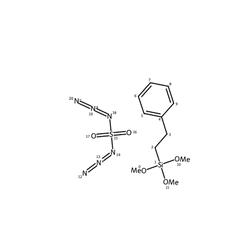 CO[Si](CCc1ccccc1)(OC)OC.[N-]=[N+]=NS(=O)(=O)N=[N+]=[N-]